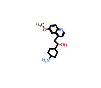 COc1ccc2nccc(C[C@@H](O)C3CCC(N)CC3)c2c1